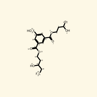 CCC(O)CCOC(=O)c1cc(C(=O)OCCC(O)CC(F)(F)F)cc(S(=O)(=O)O)c1